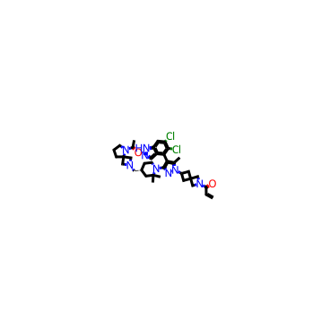 C=CC(=O)N1CC2(CC(n3nc(N4CC[C@@H](CN5CC6(CCCN6C(C)=O)C5)CC4(C)C)c(-c4c(Cl)c(Cl)cc5[nH]ncc45)c3C)C2)C1